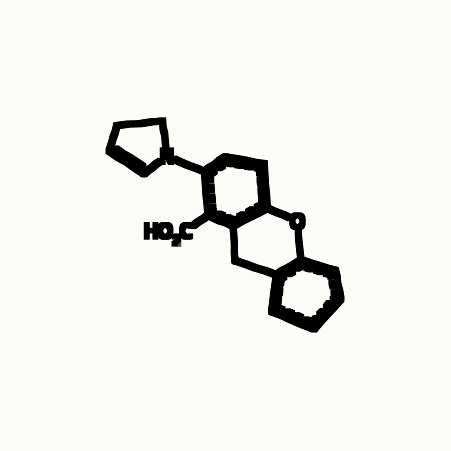 O=C(O)c1c(N2C=CCC2)ccc2c1Cc1ccccc1O2